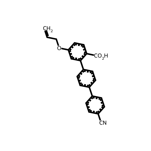 C=CCOc1ccc(C(=O)O)c(-c2ccc(-c3ccc(C#N)cc3)cc2)c1